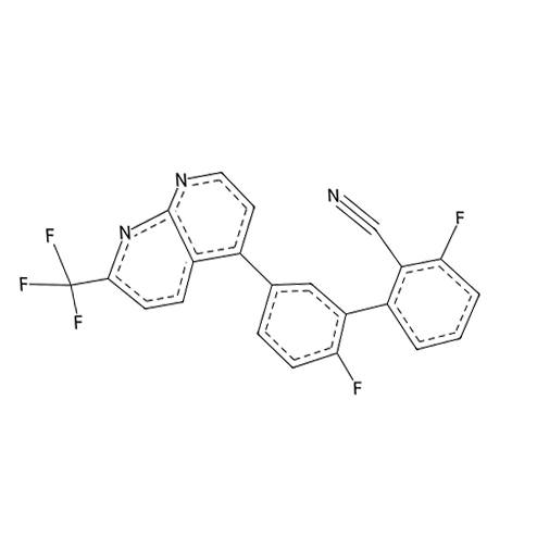 N#Cc1c(F)cccc1-c1cc(-c2ccnc3nc(C(F)(F)F)ccc23)ccc1F